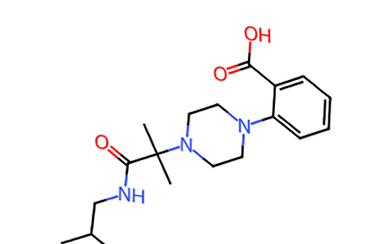 CC(C)CNC(=O)C(C)(C)N1CCN(c2ccccc2C(=O)O)CC1